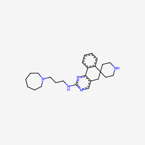 c1ccc2c(c1)-c1nc(NCCCN3CCCCCC3)ncc1CC21CCNCC1